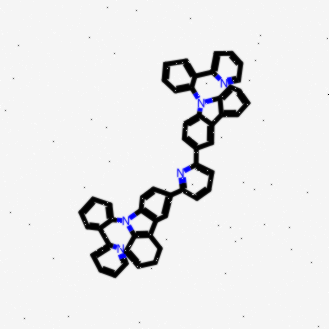 C1=Cc2c(c3cc(-c4cccc(-c5ccc6c(c5)c5ccccc5n6-c5ccccc5-c5ccccn5)n4)ccc3n2-c2ccccc2-c2ccccn2)CC1